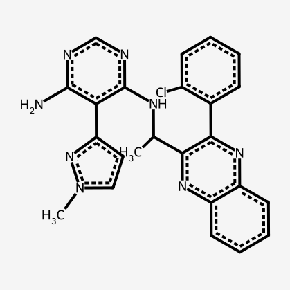 CC(Nc1ncnc(N)c1-c1ccn(C)n1)c1nc2ccccc2nc1-c1ccccc1Cl